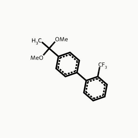 COC(C)(OC)c1ccc(-c2ccccc2C(F)(F)F)cc1